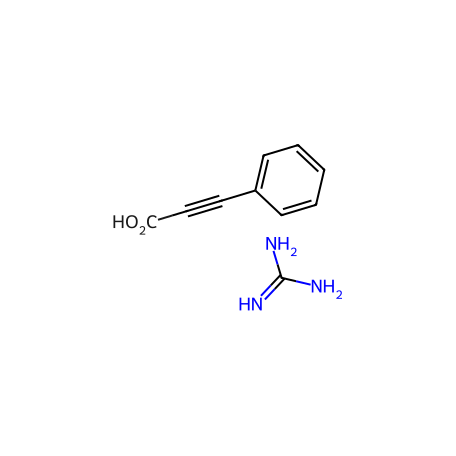 N=C(N)N.O=C(O)C#Cc1ccccc1